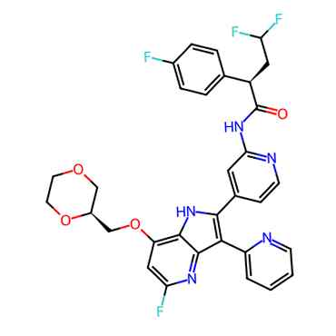 O=C(Nc1cc(-c2[nH]c3c(OC[C@@H]4COCCO4)cc(F)nc3c2-c2ccccn2)ccn1)[C@H](CC(F)F)c1ccc(F)cc1